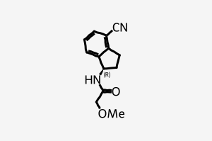 COCC(=O)N[C@@H]1CCc2c(C#N)cccc21